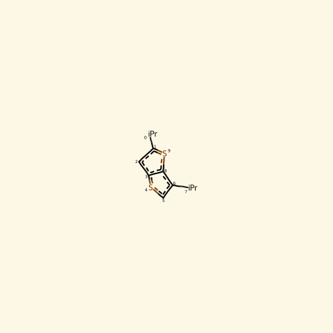 CC(C)c1cc2scc(C(C)C)c2s1